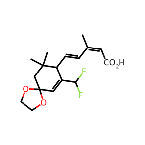 CC(=C/C(=O)O)/C=C/C1C(C(F)F)=CC2(CC1(C)C)OCCO2